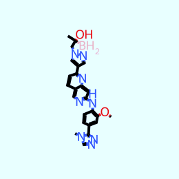 BC(C)(O)Cn1cc(-c2ccc3cnc(Nc4ccc(-c5nncn5C)cc4OC)cc3n2)cn1